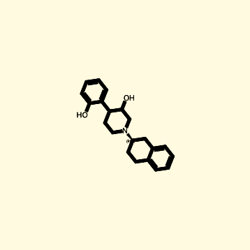 Oc1ccccc1C1CCN([C@@H]2CCc3ccccc3C2)CC1O